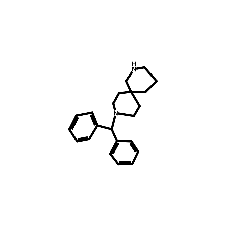 c1ccc(C(c2ccccc2)N2CCC3(CCCNC3)CC2)cc1